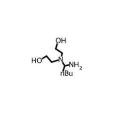 CCCCC(N)N(CCO)CCO